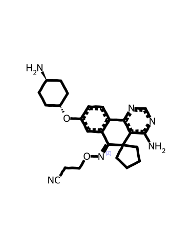 N#CCCO/N=C1\c2cc(O[C@H]3CC[C@H](N)CC3)ccc2-c2ncnc(N)c2C12CCCC2